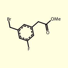 COC(=O)Cc1cc(F)cc(CBr)c1